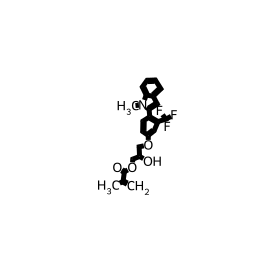 C=C(C)C(=O)OCC(O)COc1ccc(-c2cc3ccccc3n2C)c(C(F)(F)F)c1